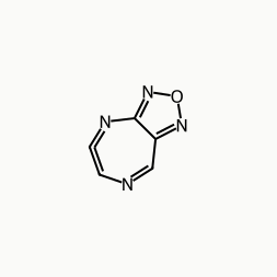 C1=CN=Cc2nonc2N=1